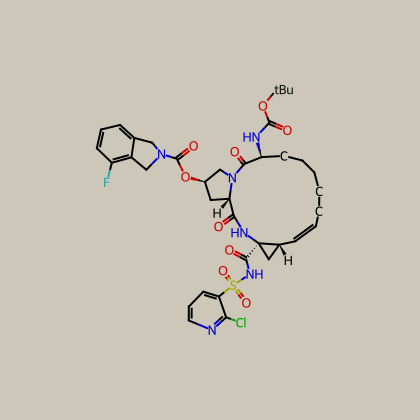 CC(C)(C)OC(=O)N[C@H]1CCCCC/C=C\[C@@H]2C[C@@]2(C(=O)NS(=O)(=O)c2cccnc2Cl)NC(=O)[C@@H]2C[C@@H](OC(=O)N3Cc4cccc(F)c4C3)CN2C1=O